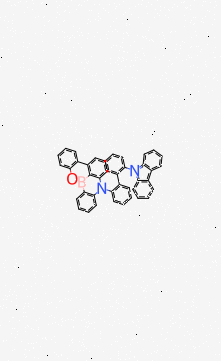 c1ccc2c(c1)OB1c3ccccc3N(c3ccccc3-c3ccccc3-n3c4ccccc4c4ccccc43)c3cccc-2c31